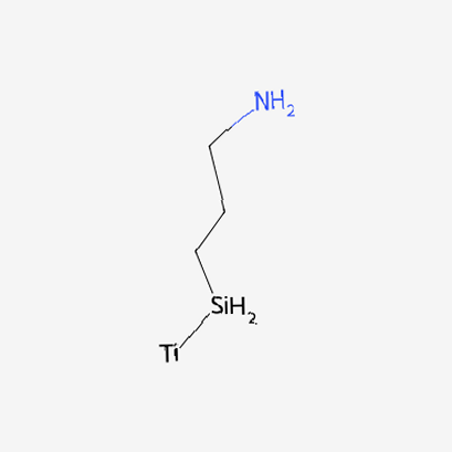 NCCC[SiH2][Ti]